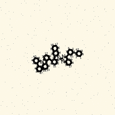 c1ccc(-c2cccc(-c3nc(-n4c5cc6ccccc6cc5c5c(-c6cccc7c6c6ccccc6n7-c6ccccc6-c6ccccc6)cccc54)nc4ccccc34)c2)cc1